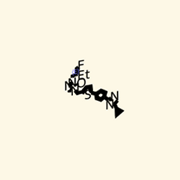 CC/C(=C\F)Cn1ncn(Cc2ccc(-c3ccc(C4=NCC(C5CC5)=N4)cc3)s2)c1=O